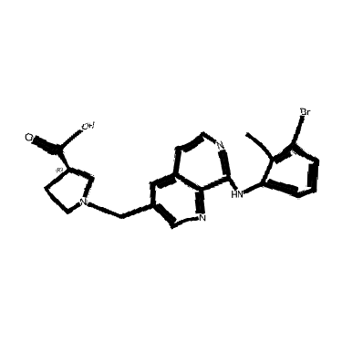 Cc1c(Br)cccc1Nc1nccc2cc(CN3CC[C@@H](C(=O)O)C3)cnc12